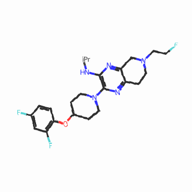 CC(C)Nc1nc2c(nc1N1CCC(Oc3ccc(F)cc3F)CC1)CCN(CCF)C2